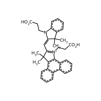 CC1(C)C(/C=C2/N(CCC(=O)O)c3ccccc3C2(C)C)=[N+](CCC(=O)O)c2c1c1ccccc1c1ccccc21